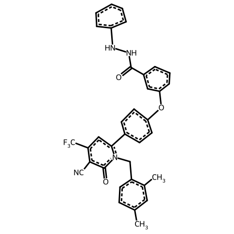 Cc1ccc(Cn2c(-c3ccc(Oc4cccc(C(=O)NNc5ccccc5)c4)cc3)cc(C(F)(F)F)c(C#N)c2=O)c(C)c1